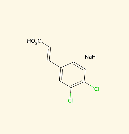 O=C(O)C=Cc1ccc(Cl)c(Cl)c1.[NaH]